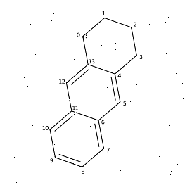 [C]1CCCc2cc3ccccc3cc21